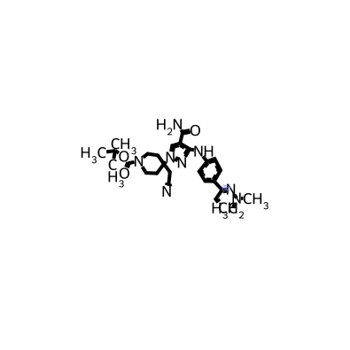 C=C/C(=N\N(C)C)c1ccc(Nc2nn(C3(CC#N)CCN(C(=O)OC(C)(C)C)CC3)cc2C(N)=O)cc1